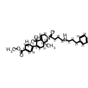 COC(=O)c1ccc(C2=CC[C@]3(C)CN(C(=O)CCCNCCCc4ccccc4)CC=C3C2(C)C)cc1